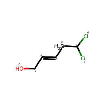 OCC=C[SiH2]C(Cl)Cl